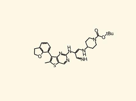 Cc1sc2cnc(N/C(C=N)=C/NC3CCN(C(=O)OC(C)(C)C)CC3)nc2c1-c1cccc2c1OCC2